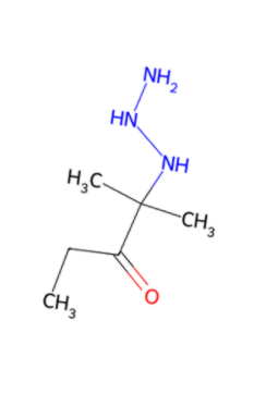 CCC(=O)C(C)(C)NNN